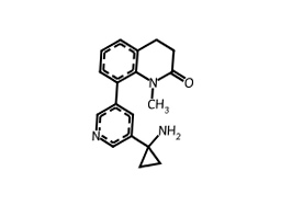 CN1C(=O)CCc2cccc(-c3cncc(C4(N)CC4)c3)c21